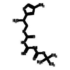 Bc1csc(C(C)COC(=O)NC(=N)NC(=O)OC(C)(C)C)c1